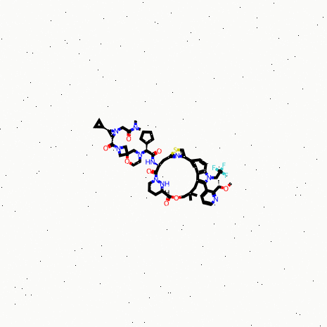 CO[C@@H](C)c1ncccc1-c1c2c3cc(ccc3n1CC(F)(F)F)-c1csc(n1)C[C@H](NC(=O)[C@H](C1CCCC1)N1CCOC3(CN(C(=O)[C@H]4[C@@H](C5CC5)N4CC(=O)N(C)C)C3)C1)C(=O)N1CCC[C@H](N1)C(=O)OCC(C)(C)C2